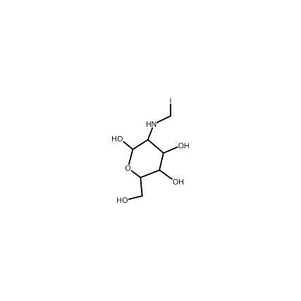 OCC1OC(O)C(NCI)C(O)C1O